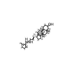 CN1CCN=C1NNC/C=C/[C@H]1CC[C@]2(O)[C@@H]3CC[C@@H]4C[C@@H](O)CC[C@]4(C)[C@H]3CC[C@]12C